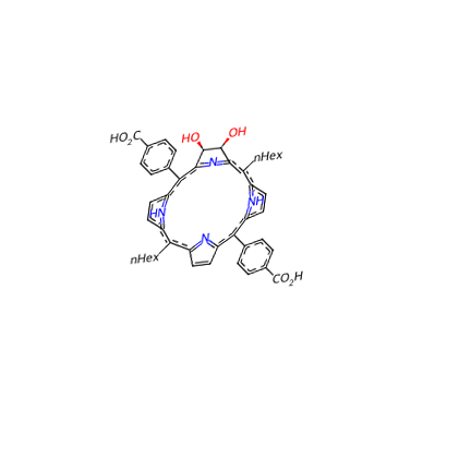 CCCCCCc1c2nc(c(-c3ccc(C(=O)O)cc3)c3ccc([nH]3)c(CCCCCC)c3nc(c(-c4ccc(C(=O)O)cc4)c4ccc1[nH]4)[C@@H](O)[C@H]3O)C=C2